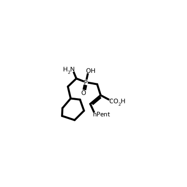 CCCCCC=C(CP(=O)(O)C(N)CC1CCCCC1)C(=O)O